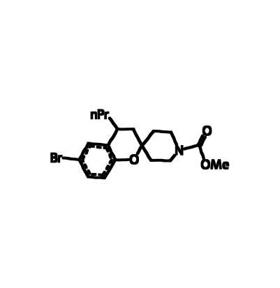 CCCC1CC2(CCN(C(=O)OC)CC2)Oc2ccc(Br)cc21